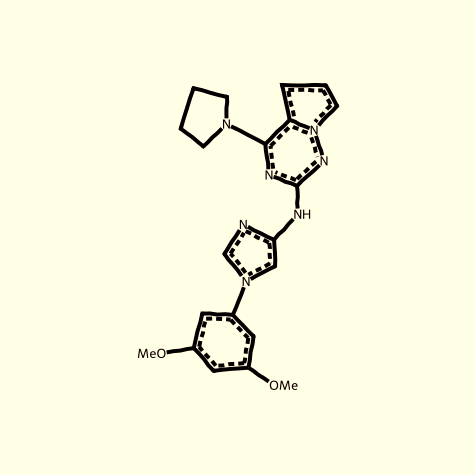 COc1cc(OC)cc(-n2cnc(Nc3nc(N4CCCC4)c4cccn4n3)c2)c1